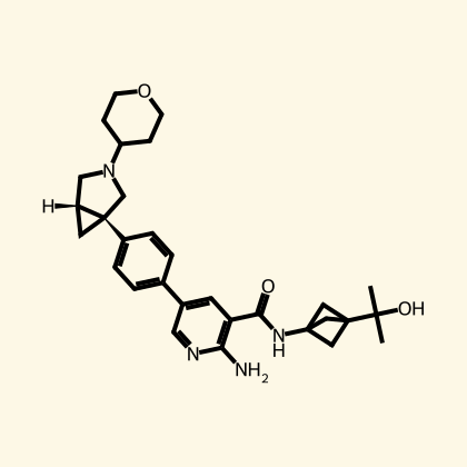 CC(C)(O)C12CC(NC(=O)c3cc(-c4ccc([C@@]56C[C@@H]5CN(C5CCOCC5)C6)cc4)cnc3N)(C1)C2